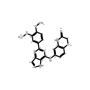 COc1ccc(-c2nc(Nc3ccc4c(c3)NC(=O)CO4)c3[nH]ncc3n2)cc1OC